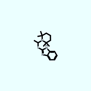 CC(Sc1nc2ccccc2[nH]1)N1C(C)(C)CCCC1(C)C